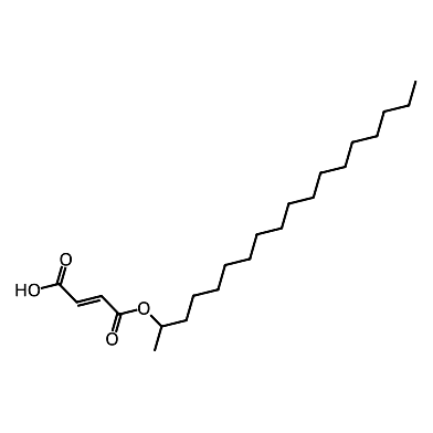 CCCCCCCCCCCCCCCCC(C)OC(=O)C=CC(=O)O